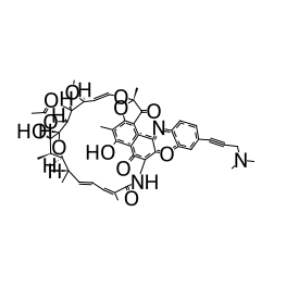 CO[C@H]1/C=C/O[C@@]2(C)Oc3c(C)c(O)c4c(=O)c(c5oc6cc(C#CCN(C)C)ccc6nc-5c4c3C2=O)NC(=O)/C(C)=C\C=C\[C@H](C)[C@@H]2O[C@H]([C@H](O)[C@@H]2C)[C@H](OC(C)=O)[C@@H]1C